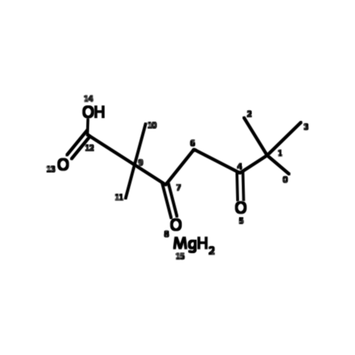 CC(C)(C)C(=O)CC(=O)C(C)(C)C(=O)O.[MgH2]